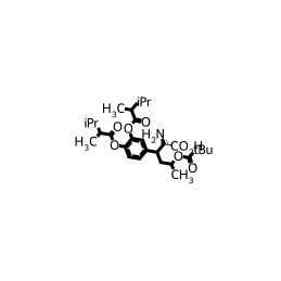 CC(CC(c1ccc(OC(=O)C(C)C(C)C)c(OC(=O)C(C)C(C)C)c1)[C@H](N)C(=O)O)OC(=O)C(C)(C)C